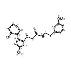 COc1cccc(CCNC(=O)COc2cc(C(F)(F)F)nn2-c2ccccc2Cl)c1